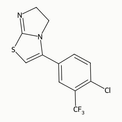 FC(F)(F)c1cc(C2=CSC3=NCCN23)ccc1Cl